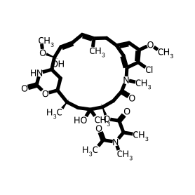 COc1cc2cc(c1Cl)N(C)C(=O)C[C@@H](OC(=O)C(C)N(C)C(C)=O)C(C)(O)C[C@@H](C)C1C[C@](O)(NC(=O)O1)[C@@H](OC)/C=C/C=C(\C)C2